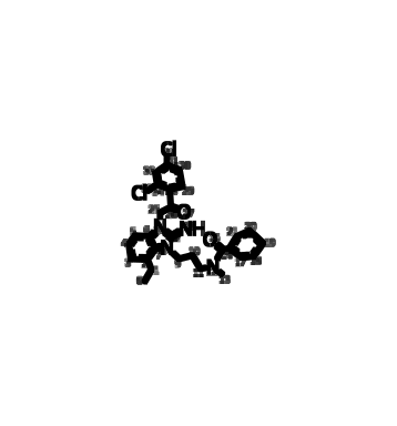 CCc1cccc2c1n(CCCN(C)C(=O)c1ccccc1)c(=N)n2CC(=O)c1ccc(Cl)cc1Cl